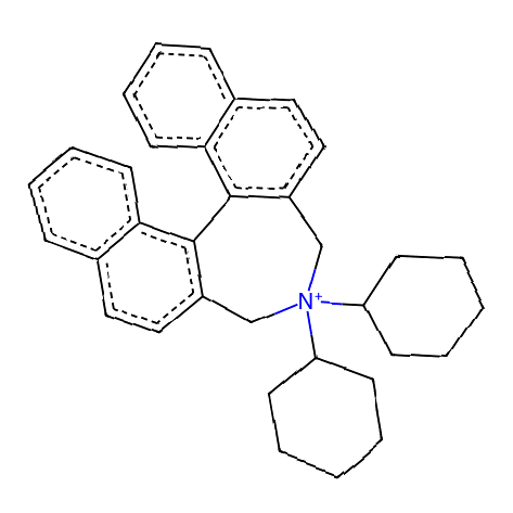 c1ccc2c3c(ccc2c1)C[N+](C1CCCCC1)(C1CCCCC1)Cc1ccc2ccccc2c1-3